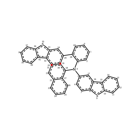 c1ccc(N(c2ccc3sc4ccccc4c3c2)c2cccc3ccccc23)c(-c2ccc3c(c2)sc2ccccc23)c1